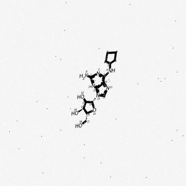 Nc1nc(NC2CCCC2)c2ncn([C@@H]3O[C@H](CO)[C@@H](O)C3O)c2n1